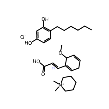 CCCCCCc1ccc(O)cc1O.COC1C=CCC=C1/C=C/C(=O)O.C[N+]1(C)CCCCC1.[Cl-]